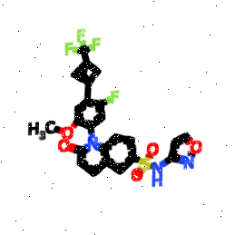 COc1cc(C23CC(C(F)(F)F)(C2)C3)c(F)cc1-n1c(=O)ccc2cc(S(=O)(=O)Nc3ccon3)ccc21